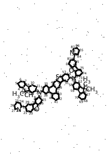 CC1(C)c2ccccc2-c2ccc(N(c3ccc4oc5ccc(-c6ccccn6)cc5c4c3)c3ccc4c(c3)c3ccccc3c3cc5c(cc43)sc3ccc(N(c4ccc6c(c4)C(C)(C)c4ccccc4-6)c4cccc6c4oc4ccc(-c7ccccn7)cc46)cc35)cc21